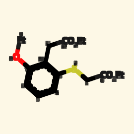 CCOC(=O)CSc1cccc(OCC)c1CC(=O)OCC